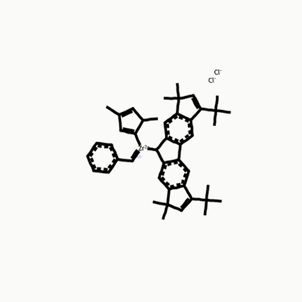 CC1=CC(C)[C](/[Zr+2](=[CH]\c2ccccc2)[CH]2c3cc4c(cc3-c3cc5c(cc32)C(C)(C)C=C5C(C)(C)C)C(C(C)(C)C)=CC4(C)C)=C1.[Cl-].[Cl-]